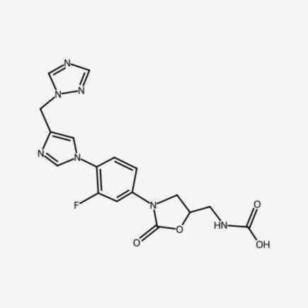 O=C(O)NCC1CN(c2ccc(-n3cnc(Cn4cncn4)c3)c(F)c2)C(=O)O1